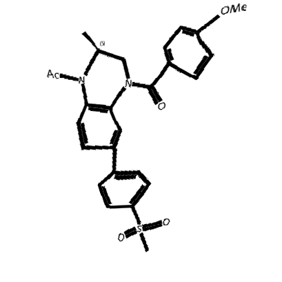 COc1ccc(C(=O)N2C[C@H](C)N(C(C)=O)c3ccc(-c4ccc(S(C)(=O)=O)cc4)cc32)cc1